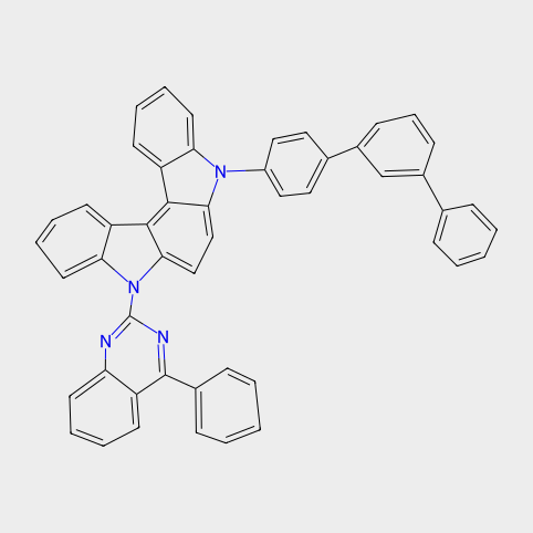 c1ccc(-c2cccc(-c3ccc(-n4c5ccccc5c5c6c7ccccc7n(-c7nc(-c8ccccc8)c8ccccc8n7)c6ccc54)cc3)c2)cc1